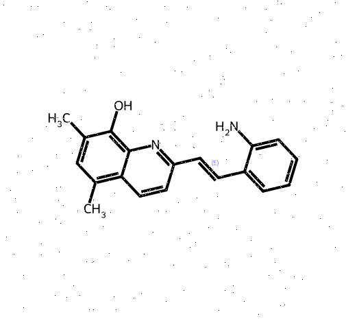 Cc1cc(C)c2ccc(/C=C/c3ccccc3N)nc2c1O